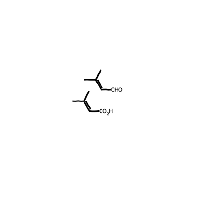 CC(C)=CC(=O)O.CC(C)=CC=O